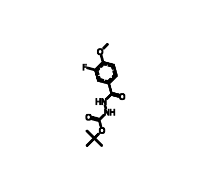 COc1ccc(C(=O)NNC(=O)OC(C)(C)C)cc1F